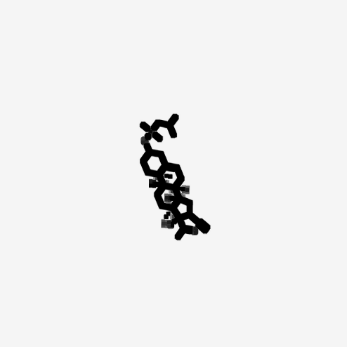 C#CC1C[C@H]2[C@@H]3CC=C4CC(O[Si](C)(C)CC(C)C)CC[C@]4(C)[C@H]3CC[C@]2(C)[C@@]1(O)C(C)=O